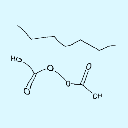 CCCCCCC.O=C(O)OOC(=O)O